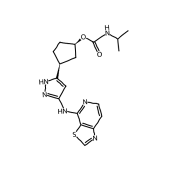 CC(C)NC(=O)O[C@@H]1CC[C@H](c2cc(Nc3nccc4ncsc34)n[nH]2)C1